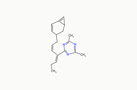 CC/C=C(\C=C/CC1C=CC2=CC2C1)c1nc(C)nc(C)n1